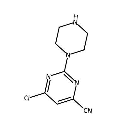 N#Cc1cc(Cl)nc(N2CCNCC2)n1